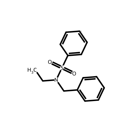 CCN(Cc1ccccc1)S(=O)(=O)c1cc[c]cc1